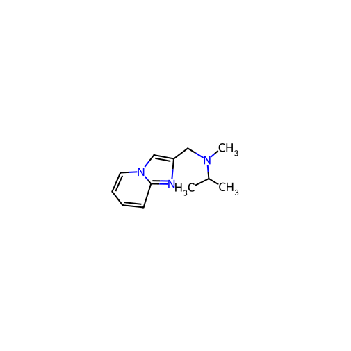 CC(C)N(C)Cc1cn2ccccc2n1